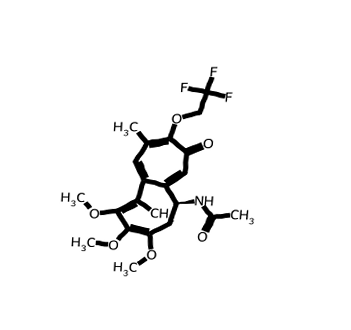 CO/C1=C(OC)/C(OC)=C(\C)c2cc(C)c(OCC(F)(F)F)c(=O)cc2[C@@H](NC(C)=O)C1